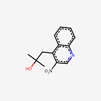 CC(C)(O)Cc1c([N+](=O)[O-])cnc2ccccc12